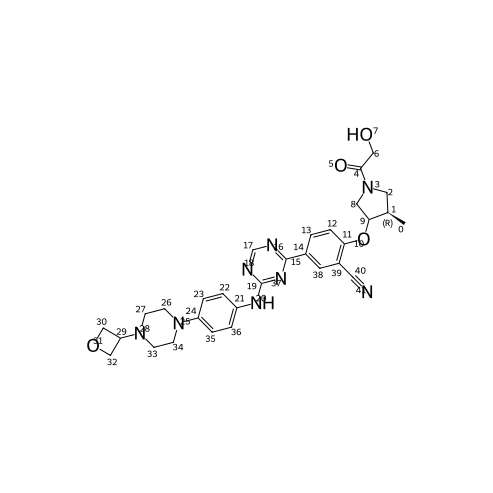 C[C@@H]1CN(C(=O)CO)CC1Oc1ccc(-c2ncnc(Nc3ccc(N4CCN(C5COC5)CC4)cc3)n2)cc1C#N